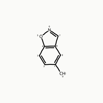 [CH]c1ccc2oncc2c1